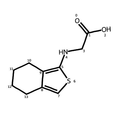 O=C(O)CNc1scc2c1CCCC2